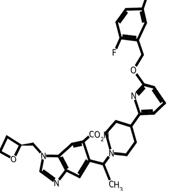 CC(c1cc2ncn(C[C@@H]3CCO3)c2cc1C(=O)O)N1CCC(c2cccc(OCc3cc(F)ccc3F)n2)CC1